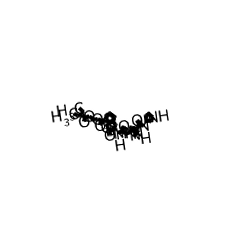 CCC(CC)C(=O)OCOC(=O)c1cccc2c1OB(O)[C@@H](NC(=O)Cn1cc(C(=O)N[C@H]3CCNC3)nn1)C2